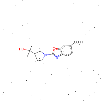 CC(C)(O)C1CCN(c2nc3ccc(C(=O)O)cc3o2)C1